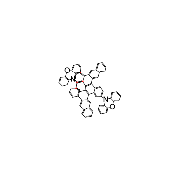 C1=CC2=C(CC1)N(c1ccc3c(-c4cc5ccccc5cc4-c4ccccc4)c4cc(N5c6ccccc6Oc6ccccc65)ccc4c(-c4cc5ccccc5cc4-c4ccccc4)c3c1)c1ccccc1O2